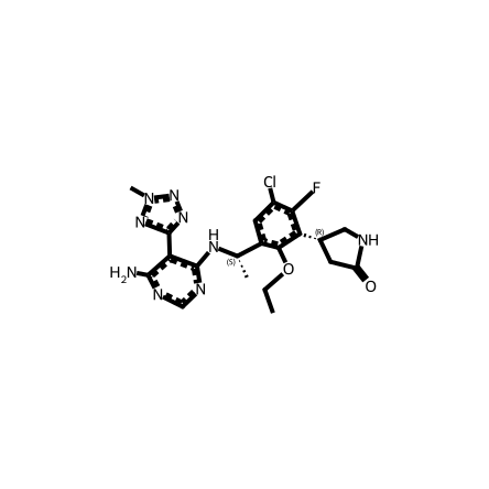 CCOc1c([C@H](C)Nc2ncnc(N)c2-c2nnn(C)n2)cc(Cl)c(F)c1[C@@H]1CNC(=O)C1